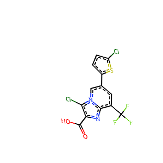 O=C(O)c1nc2c(C(F)(F)F)cc(-c3ccc(Cl)s3)cn2c1Cl